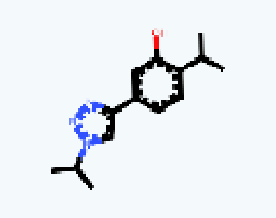 CC(C)c1ccc(-c2cn(C(C)C)nn2)cc1O